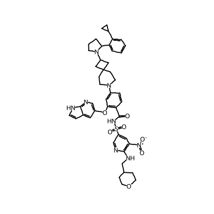 O=C(NS(=O)(=O)c1cnc(NCC2CCOCC2)c([N+](=O)[O-])c1)c1ccc(N2CCC3(CC2)CC(N2CCCC2c2ccccc2C2CC2)C3)cc1Oc1cnc2[nH]ccc2c1